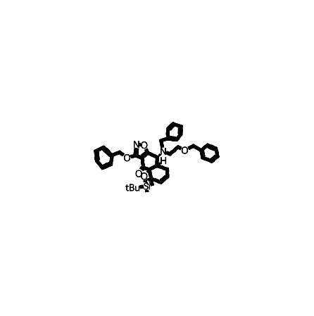 CC(C)(C)[Si](C)(C)O[C@]12C(=O)C=CC[C@H]1[C@H](N(CCOCc1ccccc1)Cc1ccccc1)c1onc(OCc3ccccc3)c1C2=O